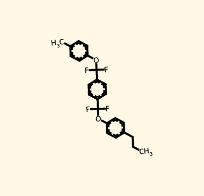 CCCc1ccc(OC(F)(F)c2ccc(C(F)(F)Oc3ccc(C)cc3)cc2)cc1